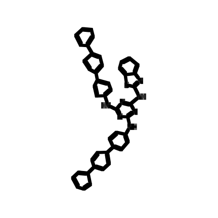 c1ccc(-c2ccc(-c3ccc(Nc4nc(Nc5ccc(-c6ccc(-c7ccccc7)cc6)cc5)nc(Nc5nc6ccccc6s5)n4)cc3)cc2)cc1